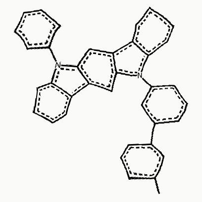 Cc1cccc(-c2cccc(-n3c4ccccc4c4cc5c(cc43)c3ccccc3n5-c3ccccc3)c2)c1